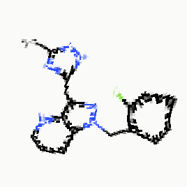 Fc1ccccc1Cn1nc(-c2nc(C(F)(F)F)n[nH]2)c2ncccc21